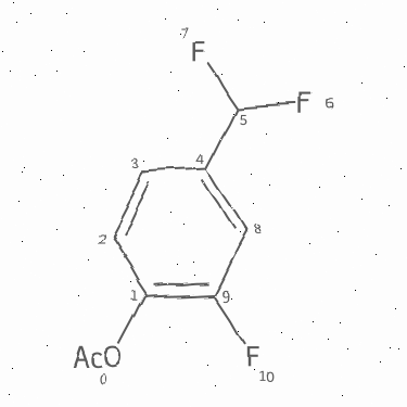 CC(=O)Oc1ccc(C(F)F)cc1F